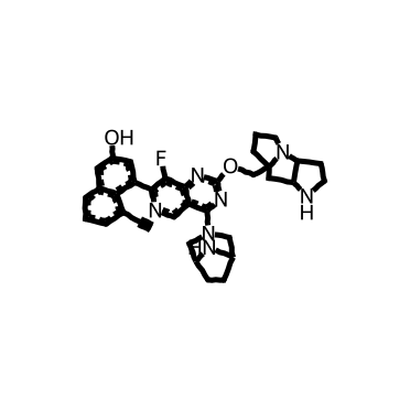 C#Cc1cccc2cc(O)cc(-c3ncc4c(N5CC6CCC(C5)N6)nc(OCC56CCCN5C5CCNC5C6)nc4c3F)c12